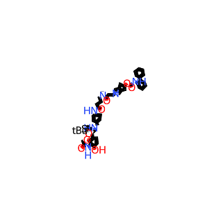 CN(CCCC(=O)Nc1ccc(CNC[C@H](O[Si](C)(C)C(C)(C)C)c2ccc(O)c3c2OCC(=O)N3)cc1)C(=O)CCN1CC2CC(OC(=O)Nc3ccccc3-c3ccccc3)CC2C1